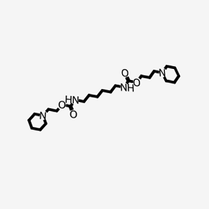 O=C(NCCCCCCNC(=O)OCCN1CCCCC1)OCCCN1CCCCC1